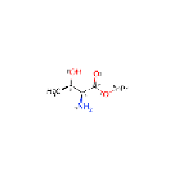 CCCOC(=O)[C@@H](N)[C@@H](C)O